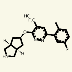 Cc1ccc(F)cc1-c1cc(C(F)(F)F)c(O[C@H]2C[C@H]3CNC[C@H]3C2)nn1.Cl